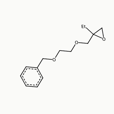 CCC1(COCCOCc2ccccc2)CO1